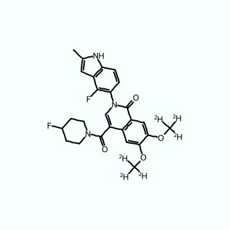 [2H]C([2H])([2H])Oc1cc2c(C(=O)N3CCC(F)CC3)cn(-c3ccc4[nH]c(C)cc4c3F)c(=O)c2cc1OC([2H])([2H])[2H]